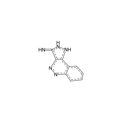 N=c1[nH][nH]c2c1nnc1ccccc12